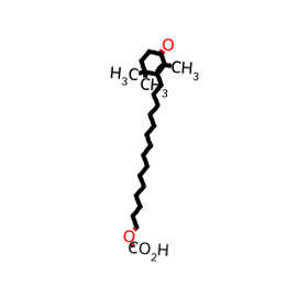 CC1=C(CCCCCCCCCCCCCCCOC(=O)O)C(C)(C)CCC1=O